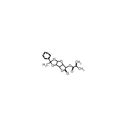 C=C(C)C(=O)OC1C(=O)OC2C3OC(C)(c4ccccc4)OC3OC12